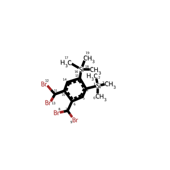 C[Si](C)(C)c1cc(C(Br)Br)c(C(Br)Br)cc1[Si](C)(C)C